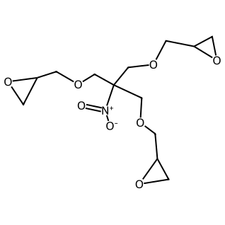 O=[N+]([O-])C(COCC1CO1)(COCC1CO1)COCC1CO1